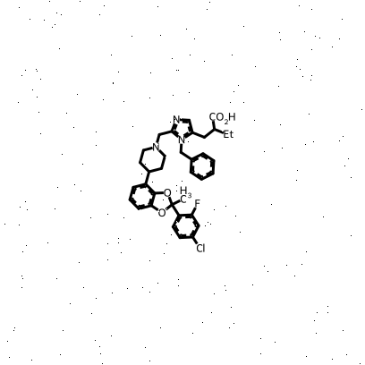 CCC(Cc1cnc(CN2CCC(c3cccc4c3OC(C)(c3ccc(Cl)cc3F)O4)CC2)n1Cc1ccccc1)C(=O)O